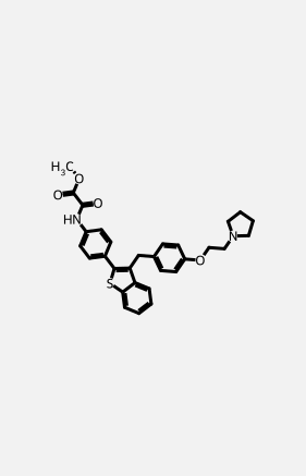 COC(=O)C(=O)Nc1ccc(-c2sc3ccccc3c2Cc2ccc(OCCN3CCCC3)cc2)cc1